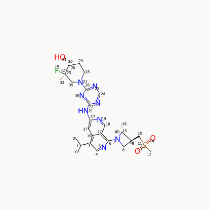 CC(C)c1cnc(N2C[C@H](CS(C)(=O)=O)[C@H]2C)c2cnc(Nc3ncnc(N4CC[C@@H](O)[C@](C)(F)C4)n3)cc12